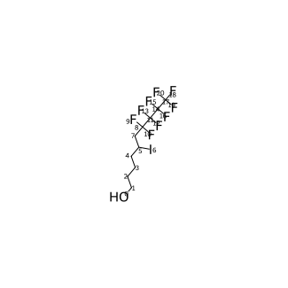 OCCCCC(I)CC(F)(F)C(F)(F)C(F)(F)C(F)(F)F